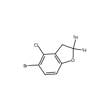 [2H]C1([2H])Cc2c(ccc(Br)c2Cl)O1